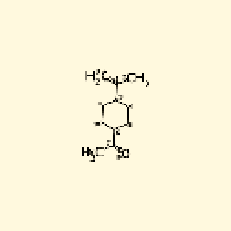 C=C(C)C1CCC(C(C)=O)CC1